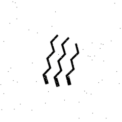 C=CCCCC.C=CCCCCC.C=CCCCCC